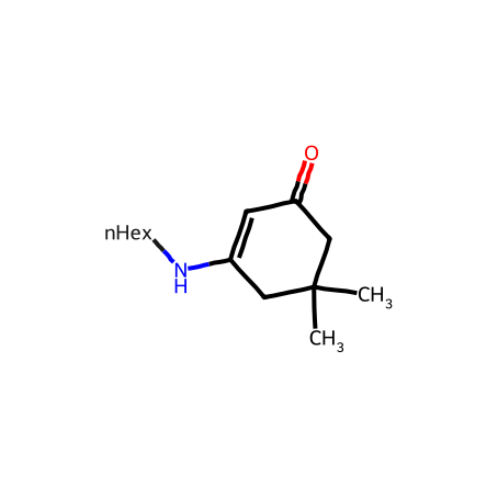 CCCCCCNC1=CC(=O)CC(C)(C)C1